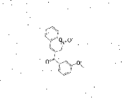 COc1cccc(C(=O)/C(=C/c2ccccc2)C[N+](=O)[O-])c1